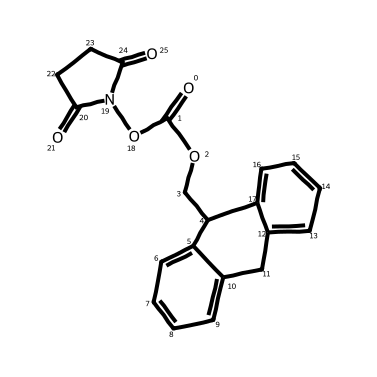 O=C(OCC1c2ccccc2Cc2ccccc21)ON1C(=O)CCC1=O